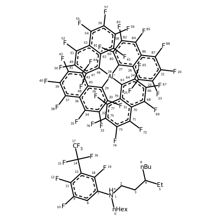 CCCCCC[NH+](CCC(CC)CCCC)c1cc(F)c(F)c(C(F)(F)C(F)(F)F)c1F.Fc1c(F)c(F)c2[c]([Al-]([c]3c(F)c(F)c(F)c4c(F)c(F)c(F)c(F)c34)([c]3c(F)c(F)c(F)c4c(F)c(F)c(F)c(F)c34)[c]3c(F)c(F)c(F)c4c(F)c(F)c(F)c(F)c34)c(F)c(F)c(F)c2c1F